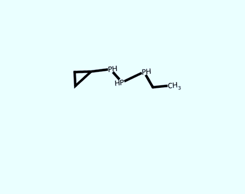 CCPPPC1CC1